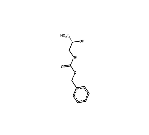 O=C(NC[C@@H](O)C(=O)O)OCc1ccccc1